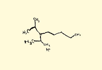 CC[CH]CCN(C(C)C)C(C)C.[H+]